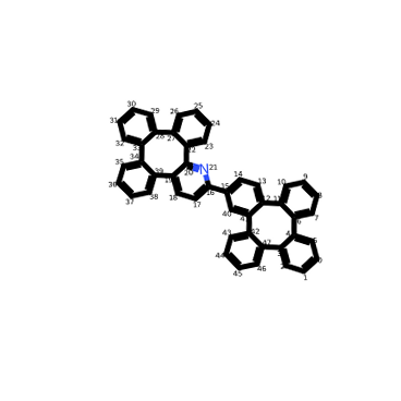 c1ccc2c(c1)-c1ccccc1-c1ccc(-c3ccc4c(n3)-c3ccccc3-c3ccccc3-c3ccccc3-4)cc1-c1ccccc1-2